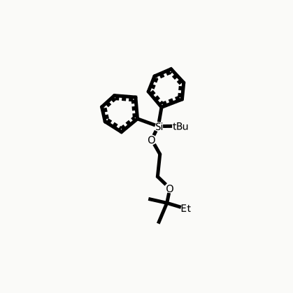 CCC(C)(C)OCCO[Si](c1ccccc1)(c1ccccc1)C(C)(C)C